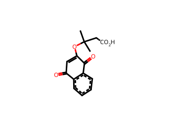 CC(C)(CC(=O)O)OC1=CC(=O)c2ccccc2C1=O